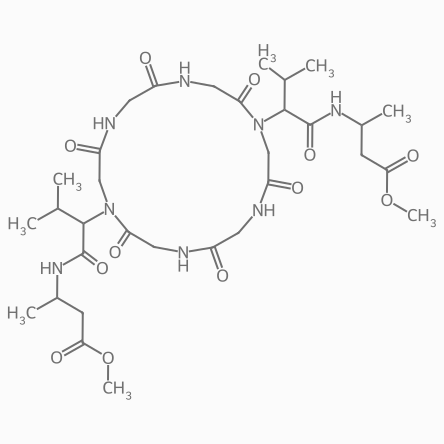 COC(=O)CC(C)NC(=O)C(C(C)C)N1CC(=O)NCC(=O)NCC(=O)N(C(C(=O)NC(C)CC(=O)OC)C(C)C)CC(=O)NCC(=O)NCC1=O